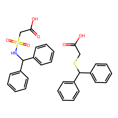 O=C(O)CS(=O)(=O)NC(c1ccccc1)c1ccccc1.O=C(O)CSC(c1ccccc1)c1ccccc1